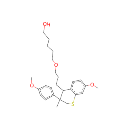 COc1ccc(C2(C)CSc3cc(OC)ccc3C2CCCOCCCCCO)cc1